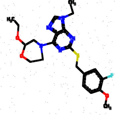 CCOC1CN(c2nc(SCc3ccc(OC)c(F)c3)nc3c2ncn3CC)CCO1